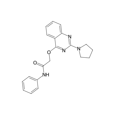 O=C(COc1nc(N2CCCC2)nc2ccccc12)Nc1ccccc1